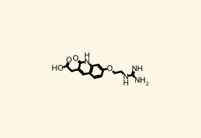 N=C(N)NCCOc1ccc2cc(CC(=O)O)c(=O)[nH]c2c1